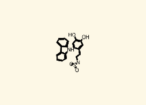 O=S(=O)=NCCc1ccc(O)c(O)c1.c1ccc2c(c1)[nH]c1ccccc12